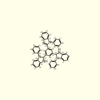 c1ccc(N2c3ccccc3NC2c2cc(-c3nc4ccccc4n3-c3ccccc3)cc(C3Nc4ccccc4N3c3ccccc3)c2)cc1